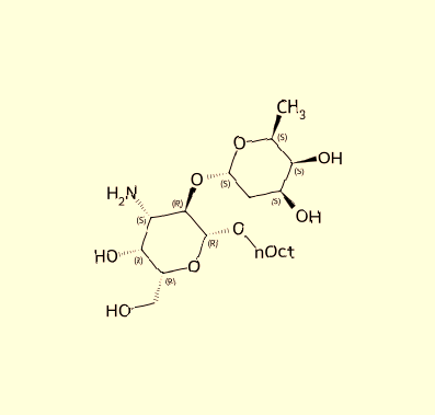 CCCCCCCCO[C@@H]1O[C@H](CO)[C@H](O)[C@H](N)[C@H]1O[C@H]1C[C@H](O)[C@H](O)[C@H](C)O1